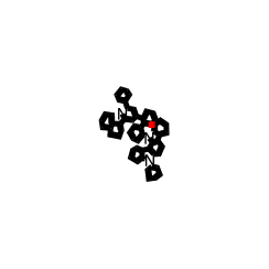 c1ccc(-c2cc(-c3ccccc3-c3ccccc3-n3c4ccccc4c4ccc5c(c6ccccc6n5-c5ccccc5)c43)cc(-c3cccc4ccccc34)n2)cc1